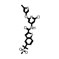 Cc1cc(Oc2cc(NC(=O)c3cc4cc(C(C)(C)S(C)(=O)=O)ccc4s3)cc(Cl)n2)cs1